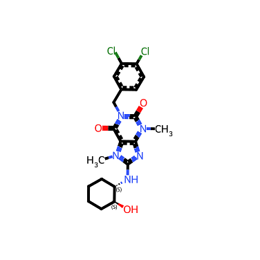 Cn1c(N[C@H]2CCCC[C@@H]2O)nc2c1c(=O)n(Cc1ccc(Cl)c(Cl)c1)c(=O)n2C